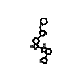 c1cncc(-c2cccc3[nH]c(-c4n[nH]c5ccc(-c6cncc(CN7CCCCC7)c6)cc45)nc23)c1